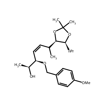 CCC[C@@H]1OC(C)(C)O[C@@H]1C(C)/C=C\[C@@H](OCc1ccc(OC)cc1)[C@H](C)O